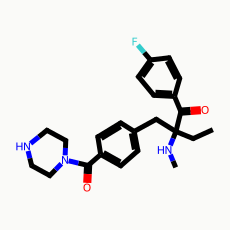 CCC(Cc1ccc(C(=O)N2CCNCC2)cc1)(NC)C(=O)c1ccc(F)cc1